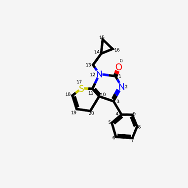 O=c1nc(-c2ccccc2)c2c(n1CC1CC1)SC=CC2